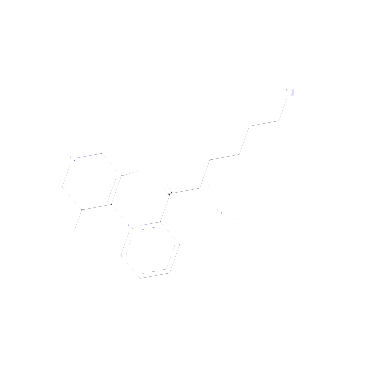 NCCCC[C@H](N)C(=O)c1cccc[n+]1C1=C(C=O)CNCC1C=O